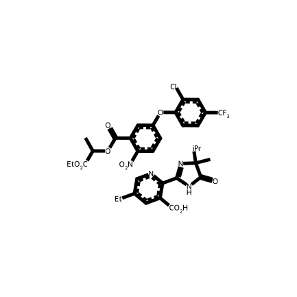 CCOC(=O)C(C)OC(=O)c1cc(Oc2ccc(C(F)(F)F)cc2Cl)ccc1[N+](=O)[O-].CCc1cnc(C2=NC(C)(C(C)C)C(=O)N2)c(C(=O)O)c1